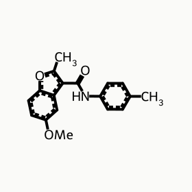 COc1ccc2oc(C)c(C(=O)Nc3ccc(C)cc3)c2c1